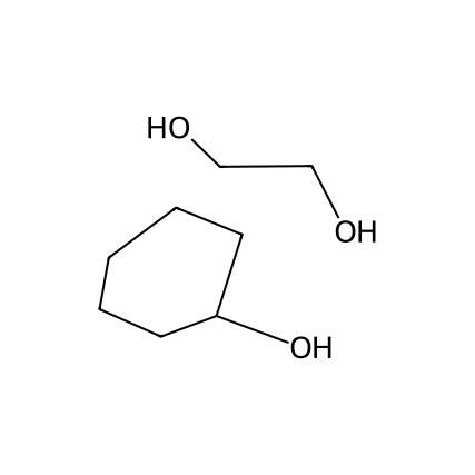 OC1CCCCC1.OCCO